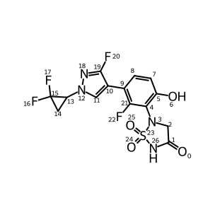 O=C1CN(c2c(O)ccc(-c3cn(C4CC4(F)F)nc3F)c2F)S(=O)(=O)N1